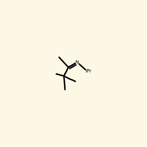 C/C(=N/C(C)C)C(C)(C)C